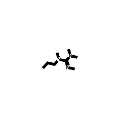 [CH2]CCN(C)/C(=N/C)N(C)C